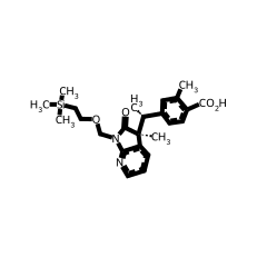 Cc1cc([C@@H](C)[C@]2(C)C(=O)N(COCC[Si](C)(C)C)c3ncccc32)ccc1C(=O)O